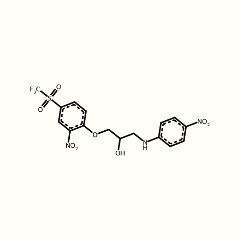 O=[N+]([O-])c1ccc(NCC(O)COc2ccc(S(=O)(=O)C(F)(F)F)cc2[N+](=O)[O-])cc1